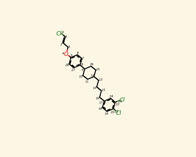 Cl/C=C/COc1ccc(C2CCC(CCCCc3ccc(Cl)c(Cl)c3)CC2)cc1